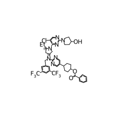 CC[C@@H]1C[C@H](N(Cc2cc(C(F)(F)F)cc(C(F)(F)F)c2)c2ncc(C3CCC(OC(=O)c4ccccc4)CC3)cn2)CN1c1nc(N2CCC(O)CC2)ncc1Cl